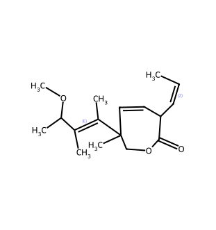 C/C=C\C1C=CC(C)(/C(C)=C(\C)C(C)OC)COC1=O